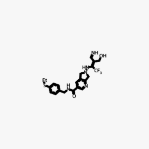 CCSc1ccc(CNC(=O)c2cnc3c(c2)CN(N/C(=C(\C=N)CO)C(F)(F)F)C3)cc1